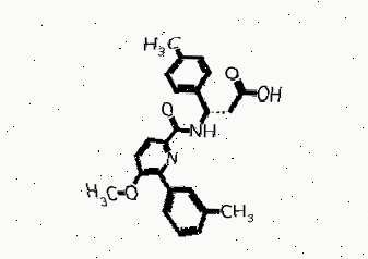 COc1ccc(C(=O)N[C@@H](CC(=O)O)c2ccc(C)cc2)nc1-c1cccc(C)c1